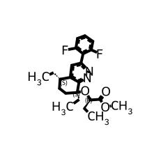 CC[C@H]1CC[C@](CC)(O[C@H](CC)C(=O)OC)c2nnc(-c3c(F)cccc3F)cc21